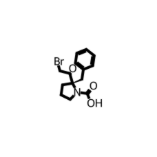 O=C(O)N1CCC[C@]1(Cc1ccccc1)C(=O)CBr